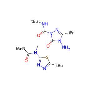 CC(C)c1nn(C(=O)NC(C)(C)C)c(=O)n1N.CNC(=O)N(C)c1nnc(C(C)(C)C)s1